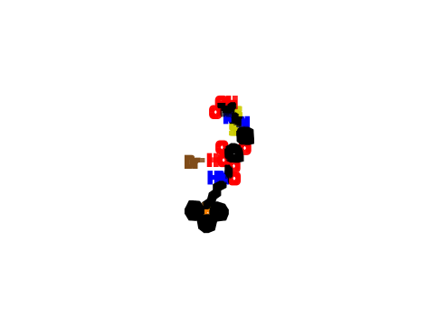 COc1cc(Oc2ccc3nc(C4=N[C@@H](C(=O)O)CS4)sc3c2)cc(OCC(=O)NCCCCCC[P+](c2ccccc2)(c2ccccc2)c2ccccc2)c1O.[Br-]